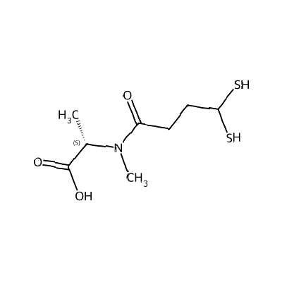 C[C@@H](C(=O)O)N(C)C(=O)CCC(S)S